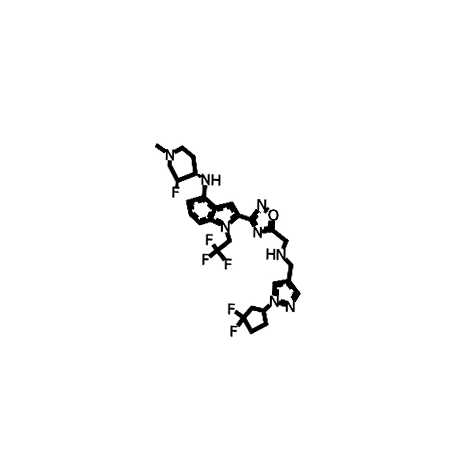 CN1CC[C@@H](Nc2cccc3c2cc(-c2noc(CNCc4cnn(C5CCC(F)(F)C5)c4)n2)n3CC(F)(F)F)[C@@H](F)C1